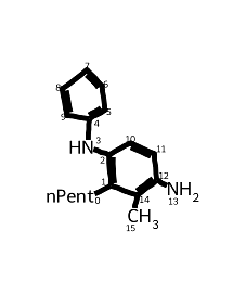 CCCCCc1c(Nc2ccccc2)ccc(N)c1C